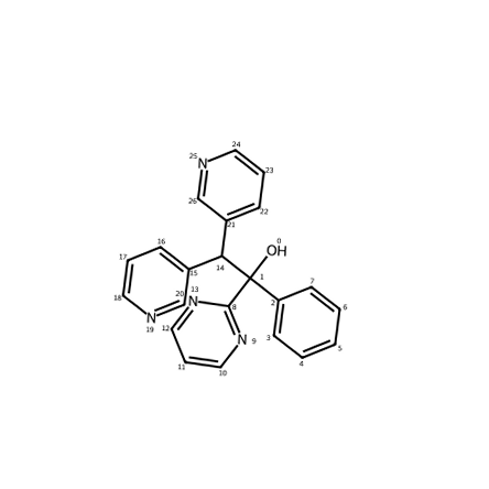 OC(c1ccccc1)(c1ncccn1)C(c1cccnc1)c1cccnc1